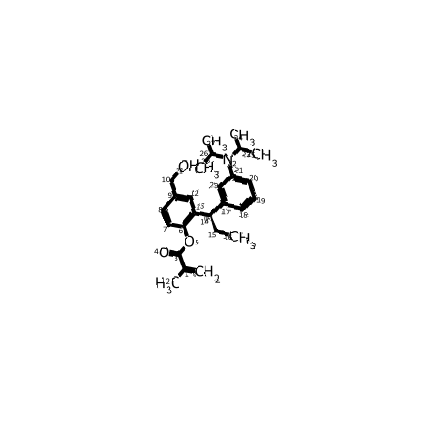 C=C(C)C(=O)Oc1ccc(CO)cc1[C@H](CC)c1cccc(N(C(C)C)C(C)C)c1